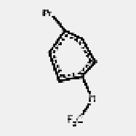 C[C](C)c1ccc(OC(F)(F)F)cc1